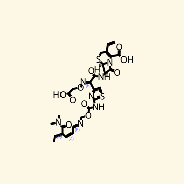 C=CC1=C(C(=O)O)N2C(=O)[C@@H](NC(=O)/C(=N/OCC(=O)O)c3csc(NC(=O)OC/N=C/C=C\C(=C/C)C(=O)N(C)C)n3)[C@H]2SC1